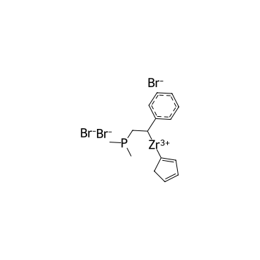 CP(C)C[CH]([Zr+3][C]1=CC=CC1)c1ccccc1.[Br-].[Br-].[Br-]